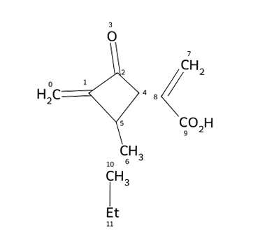 C=C1C(=O)CC1C.C=CC(=O)O.CCC